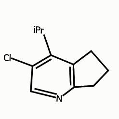 CC(C)c1c(Cl)cnc2c1CCC2